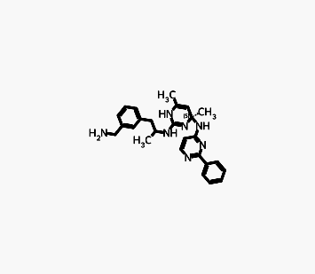 CC1=C[C@@](C)(Nc2ccnc(-c3ccccc3)n2)N=C(NC(C)Cc2cccc(CN)c2)N1